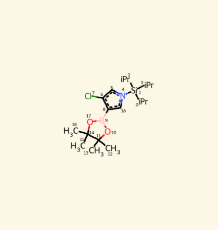 CC(C)[Si](C(C)C)(C(C)C)n1cc(Cl)c(B2OC(C)(C)C(C)(C)O2)c1